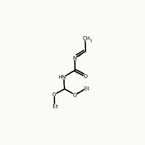 CC=NC(=O)NC(OCC)OCC